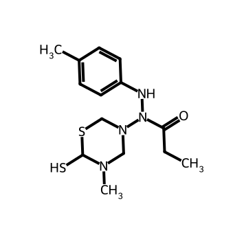 CCC(=O)N(Nc1ccc(C)cc1)N1CSC(S)N(C)C1